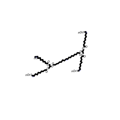 CCCCCCCC/C=C\CCCCCCCC(=O)OCC(COC(=O)CCCCCCC/C=C\CCCCCCCC)OC(=O)CCCCCCC/C=C/CCCCCCCC(=O)OC(COC(=O)CCCCCCC/C=C\CCCCCCCC)COC(=O)CCCCCCC/C=C\CCCCCCCC